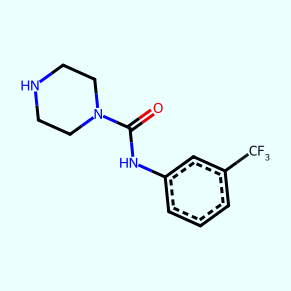 O=C(Nc1cccc(C(F)(F)F)c1)N1CCNCC1